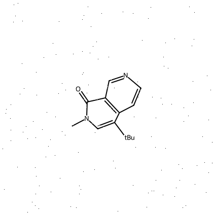 Cn1cc(C(C)(C)C)c2ccncc2c1=O